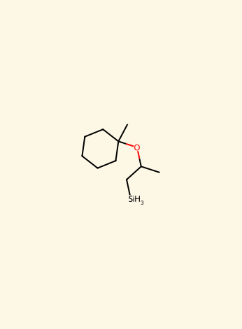 CC(C[SiH3])OC1(C)CCCCC1